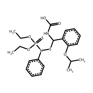 CCOP(=S)(OCC)N(SC(NC(=O)O)c1ccccc1OC(C)C)c1ccccc1